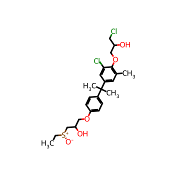 CC[S+]([O-])CC(O)COc1ccc(C(C)(C)c2cc(C)c(OCC(O)CCl)c(Cl)c2)cc1